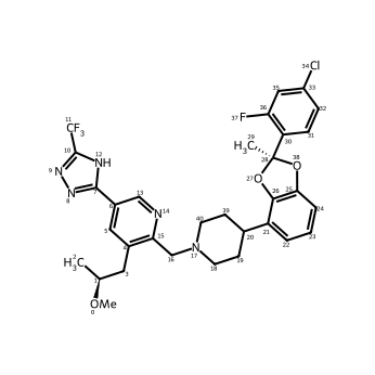 CO[C@@H](C)Cc1cc(-c2nnc(C(F)(F)F)[nH]2)cnc1CN1CCC(c2cccc3c2O[C@@](C)(c2ccc(Cl)cc2F)O3)CC1